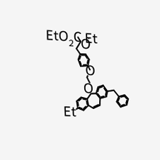 CCOC(=O)C(Cc1ccc(OCCOC2c3ccc(CC)cc3C=Cc3cc(Cc4ccccc4)ccc32)cc1)OCC